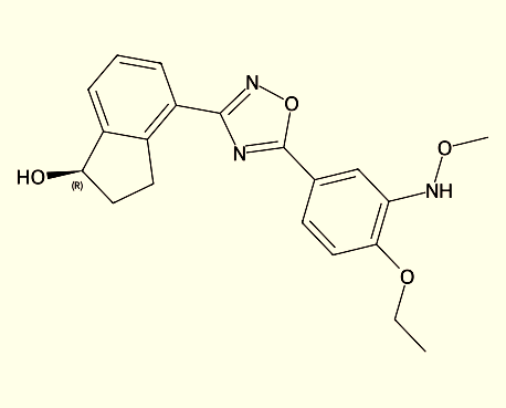 CCOc1ccc(-c2nc(-c3cccc4c3CC[C@H]4O)no2)cc1NOC